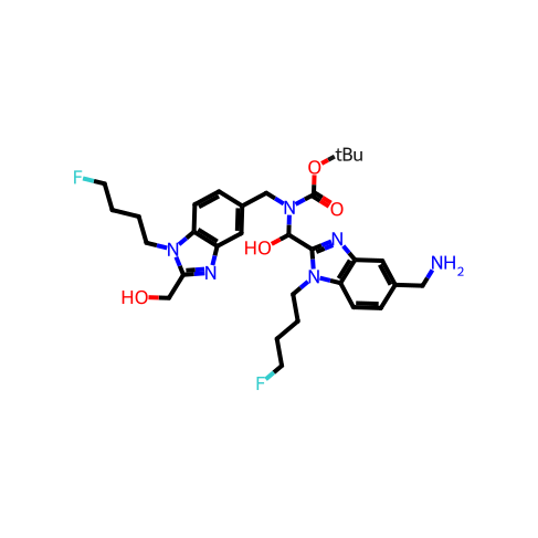 CC(C)(C)OC(=O)N(Cc1ccc2c(c1)nc(CO)n2CCCCF)C(O)c1nc2cc(CN)ccc2n1CCCCF